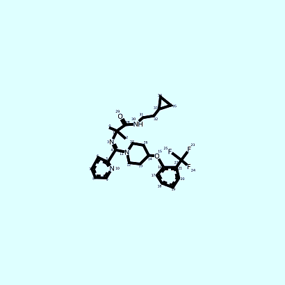 CC(C)(N=C(c1ccccn1)N1CCC(Oc2ccccc2C(F)(F)F)CC1)C(=O)NCCC1CC1